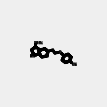 CC(=O)Nc1c[nH]c2ccc(CCOc3ccc(C#N)cc3)cc12